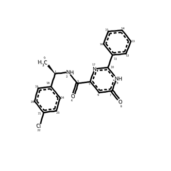 C[C@@H](NC(=O)c1cc(=O)[nH]c(-c2ccccc2)n1)c1ccc(Cl)cc1